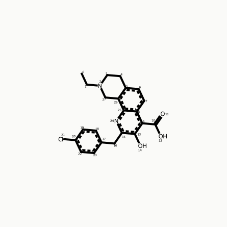 CCN1CCc2ccc3c(C(=O)O)c(O)c(Cc4ccc(Cl)cc4)nc3c2C1